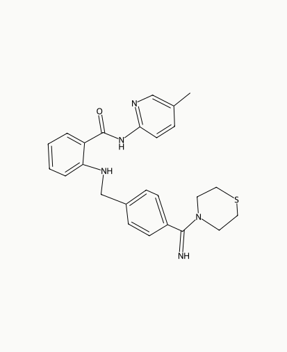 Cc1ccc(NC(=O)c2ccccc2NCc2ccc(C(=N)N3CCSCC3)cc2)nc1